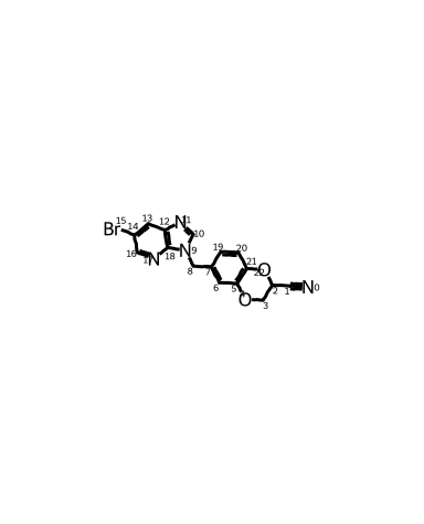 N#CC1COc2cc(Cn3cnc4cc(Br)cnc43)ccc2O1